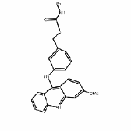 COc1ccc2c(Nc3cccc(COC(=O)NC(C)C)c3)c3ccccc3nc2c1